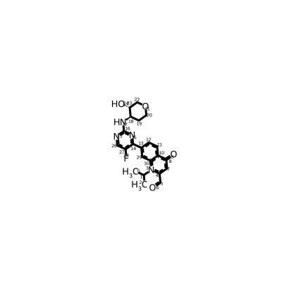 CC(C)n1c(C=O)cc(=O)c2ccc(-c3nc(N[C@@H]4CCOC[C@H]4O)ncc3F)cc21